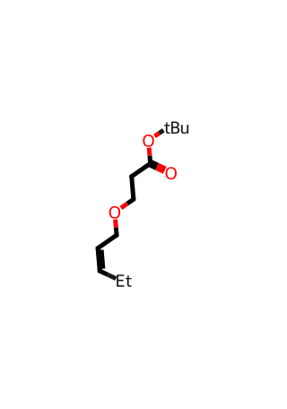 CC/C=C\COCCC(=O)OC(C)(C)C